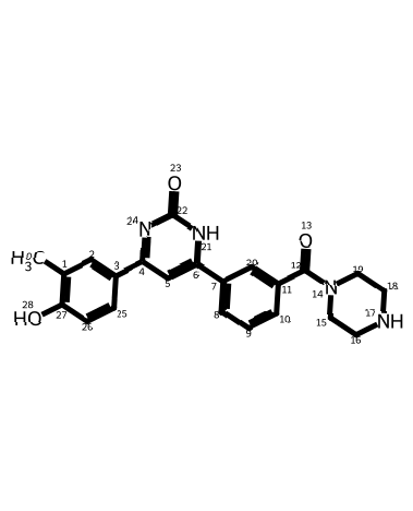 Cc1cc(-c2cc(-c3cccc(C(=O)N4CCNCC4)c3)[nH]c(=O)n2)ccc1O